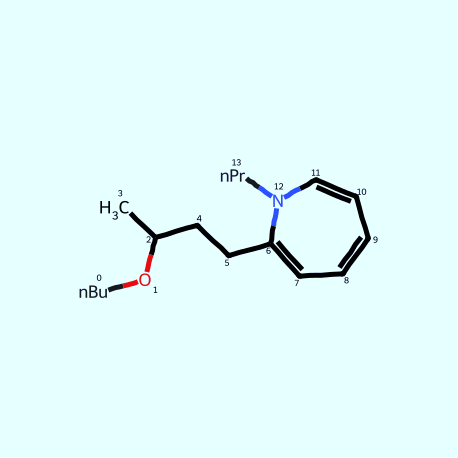 CCCCO[C](C)CCC1=CC=CC=CN1CCC